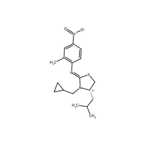 Cc1cc([N+](=O)[O-])ccc1N=C1SC[C@H](CC(C)C)N1CC1CC1